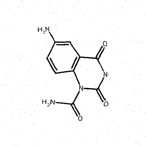 NC(=O)N1C(=O)[N]C(=O)c2cc(N)ccc21